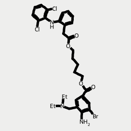 CCN(CC)Cc1cc(C(=O)OCCCCCOC(=O)Cc2ccccc2Nc2c(Cl)cccc2Cl)cc(Br)c1N